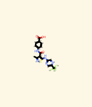 Cc1nsc(Nc2cnc(C(F)(F)F)cn2)c1C(=O)Nc1ccc(C(=O)O)cc1